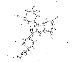 Cc1cc(F)c2nc(Nc3ccc(OC(F)(F)F)cc3)n(C3CC(C)CC(C)(C)C3)c2c1